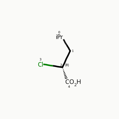 CC(C)C[C@@H](Cl)C(=O)O